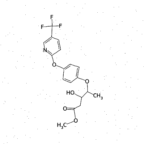 COC(=O)CC(O)C(C)Oc1ccc(Oc2ccc(C(F)(F)F)cn2)cc1